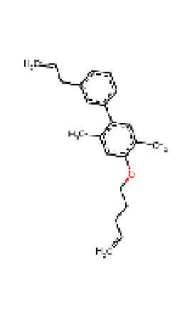 C=CCCCOc1cc(C)c(-c2cccc(CC=C)c2)cc1C